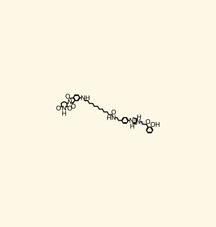 O=C(CCCCCCCCCCCNc1ccc2c(c1)C(=O)N(C1CCC(=O)NC1=O)C2=O)NCCc1ccc(N2C[C@@H]3C[C@H]2CN3/C=C/C(=O)c2ccccc2O)cc1